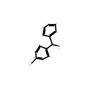 BrC(c1ccccc1)c1ccc(I)cc1